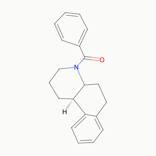 O=C(c1ccccc1)N1CCC[C@@H]2c3ccccc3CCC21